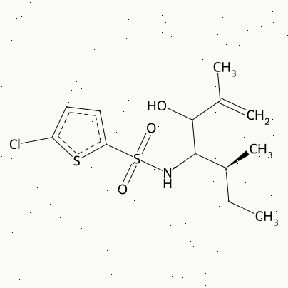 C=C(C)C(O)C(NS(=O)(=O)c1ccc(Cl)s1)[C@@H](C)CC